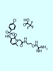 Cc1ccc(NS(=O)(=O)c2ccc(Cl)cc2)c(=O)n1CC(=O)NCCONC(=N)N.O=C(O)C(F)(F)F